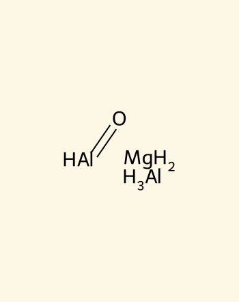 [AlH3].[MgH2].[O]=[AlH]